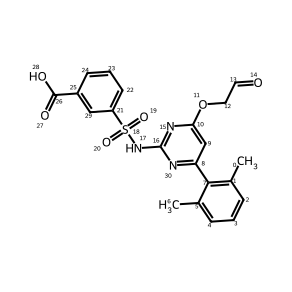 Cc1cccc(C)c1-c1cc(OCC=O)nc(NS(=O)(=O)c2cccc(C(=O)O)c2)n1